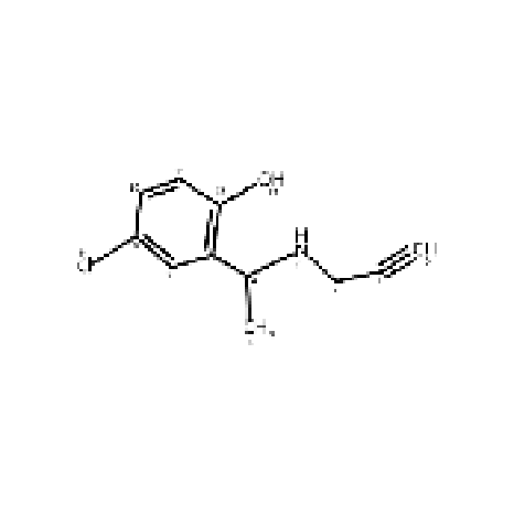 C#CCNC(C)c1cc(Cl)ccc1O